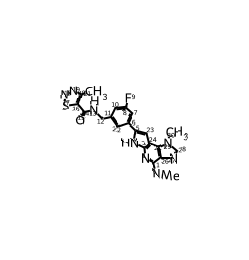 CNc1nc2[nH]c(-c3cc(F)cc(CNC(=O)c4snnc4C)c3)cc2c2c1ncn2C